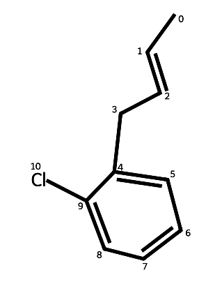 CC=CCc1ccccc1Cl